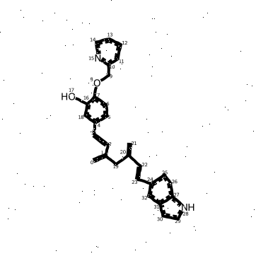 C=C(/C=C/c1ccc(OCc2ccccn2)c(O)c1)CC(=C)/C=C/c1ccc2[nH]ccc2c1